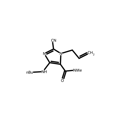 C=CCn1c(C#N)nc(NCCCC)c1C(=O)NC